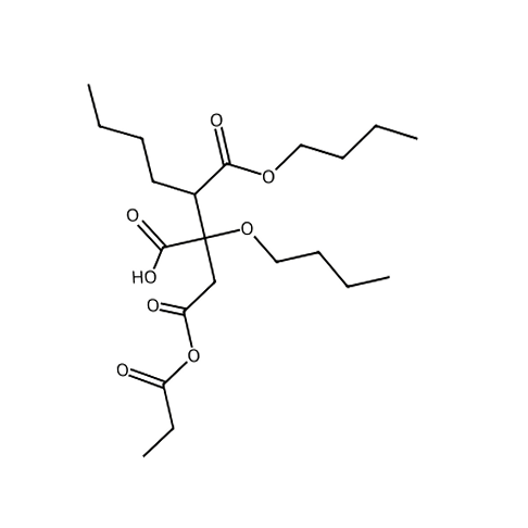 CCCCOC(=O)C(CCCC)C(CC(=O)OC(=O)CC)(OCCCC)C(=O)O